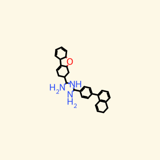 NC(NC(N)C1CC=C2C(C1)OC1C=CC=CC21)c1ccc(-c2cccc3c2C=CCC3)cc1